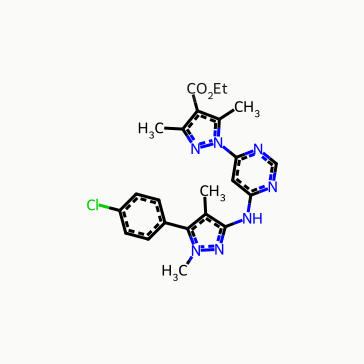 CCOC(=O)c1c(C)nn(-c2cc(Nc3nn(C)c(-c4ccc(Cl)cc4)c3C)ncn2)c1C